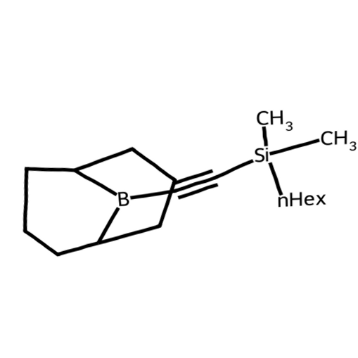 CCCCCC[Si](C)(C)C#CB1C2CCCC1CCC2